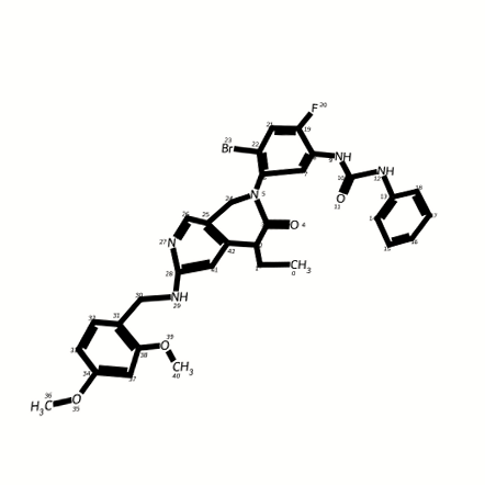 CCC1C(=O)N(c2cc(NC(=O)Nc3ccccc3)c(F)cc2Br)Cc2cnc(NCc3ccc(OC)cc3OC)cc21